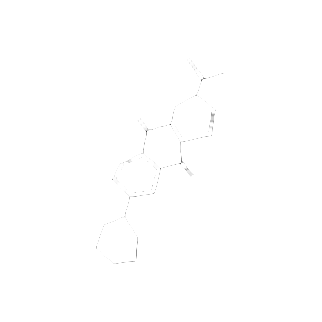 C=C(C)C1C=CC2=C(C1)C(=O)c1ccc(C3CCCCC3)cc1C2=O